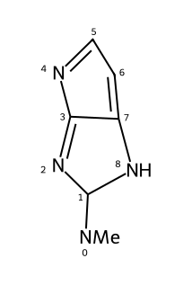 CNC1N=C2N=CC=C2N1